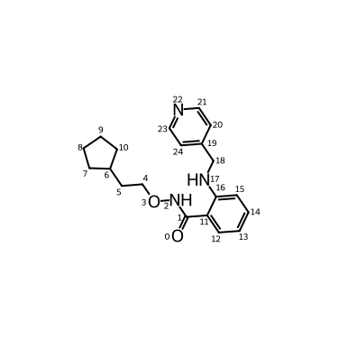 O=C(NOCCC1CCCC1)c1ccccc1NCc1ccncc1